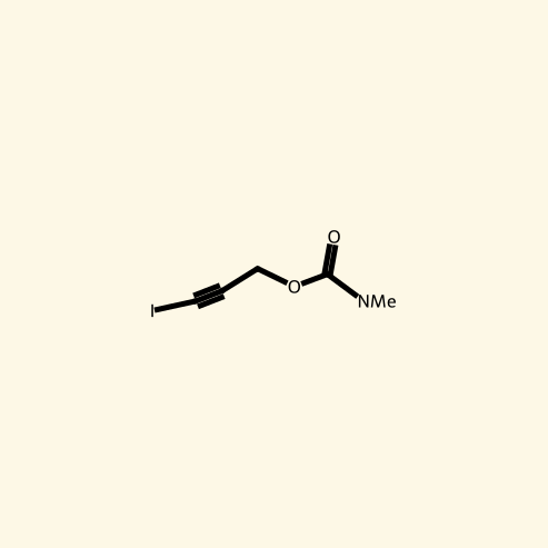 CNC(=O)OCC#CI